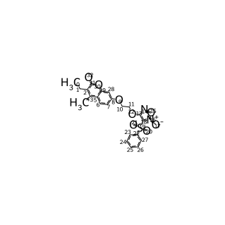 CCc1c(C)c2ccc(OCCOc3no[n+]([O-])c3S(=O)(=O)c3ccccc3)cc2oc1=O